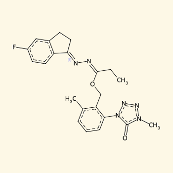 CCC(=N/N=C1\CCc2cc(F)ccc21)OCc1c(C)cccc1-n1nnn(C)c1=O